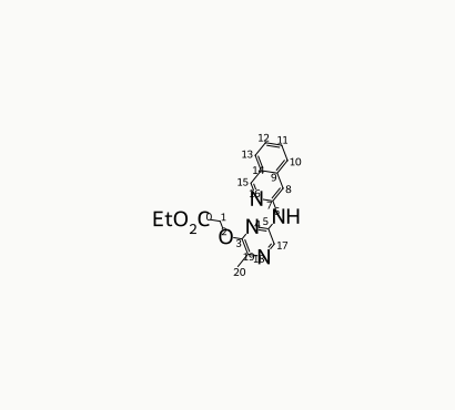 CCOC(=O)COc1nc(Nc2cc3ccccc3cn2)cnc1C